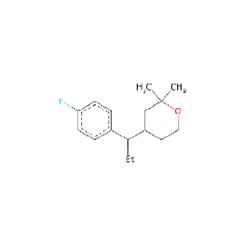 CCC(c1ccc(F)cc1)C1CCOC(C)(C)C1